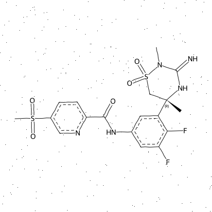 CN1C(=N)N[C@](C)(c2cc(NC(=O)c3ccc(S(C)(=O)=O)cn3)cc(F)c2F)CS1(=O)=O